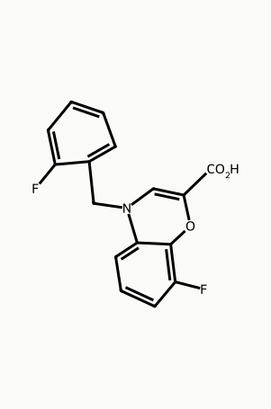 O=C(O)C1=CN(Cc2ccccc2F)c2cccc(F)c2O1